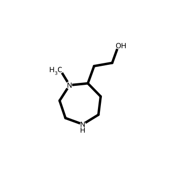 CN1CCNCCC1CCO